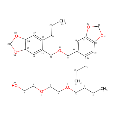 CCCCOCCOCCO.CCCc1cc2c(cc1COCc1cc3c(cc1CCC)OCO3)OCO2